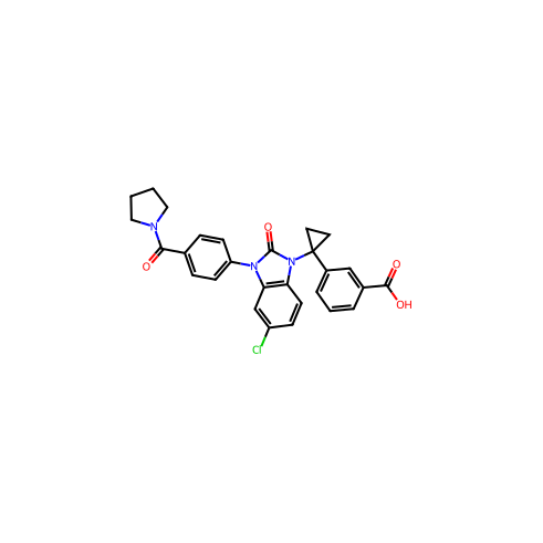 O=C(O)c1cccc(C2(n3c(=O)n(-c4ccc(C(=O)N5CCCC5)cc4)c4cc(Cl)ccc43)CC2)c1